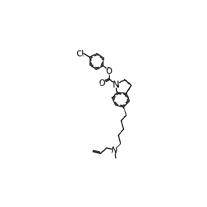 C=CCN(C)CCCCCc1ccc2c(c1)CCN2C(=O)Oc1ccc(Cl)cc1